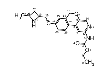 CCOC(=O)Nc1cc2c(cn1)OCc1cc(OCC3CC(C)N3)ccc1-2